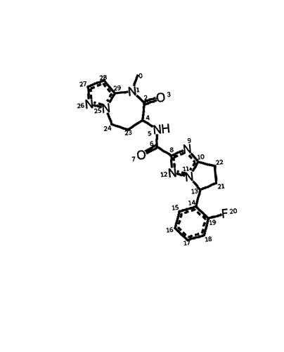 CN1C(=O)C(NC(=O)c2nc3n(n2)C(c2ccccc2F)CC3)CCn2nccc21